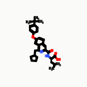 CC(C)C[C@H](NC(=O)c1cc2ccc(Oc3ccc(C(C)(C)C)cc3)cc2c(CC2CCCC2)n1)C(=O)O